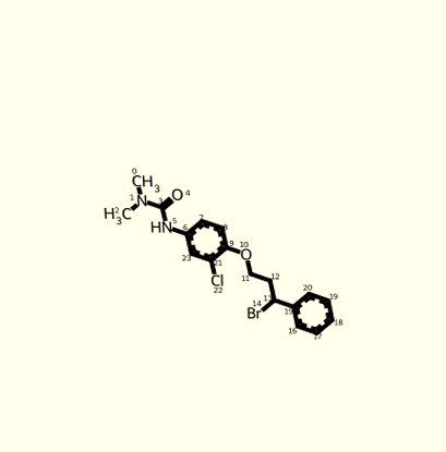 CN(C)C(=O)Nc1ccc(OCCC(Br)c2ccccc2)c(Cl)c1